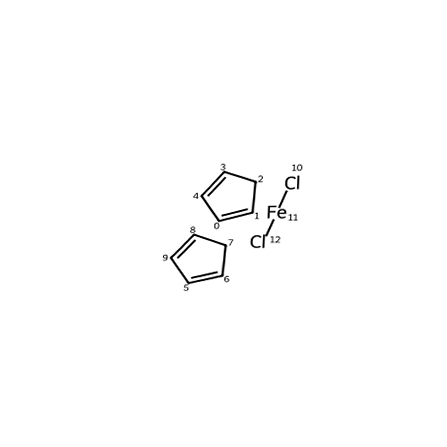 C1=CCC=C1.C1=CCC=C1.[Cl][Fe][Cl]